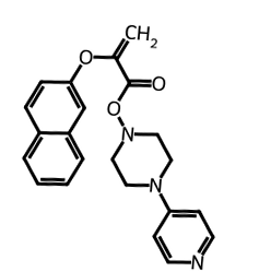 C=C(Oc1ccc2ccccc2c1)C(=O)ON1CCN(c2ccncc2)CC1